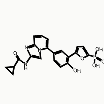 O=C(Nc1cn2c(-c3ccc(O)c(-c4ccc(P(=O)(O)O)o4)c3)cccc2n1)C1CC1